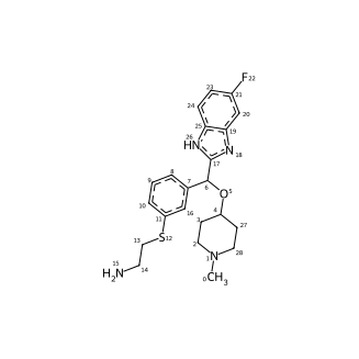 CN1CCC(OC(c2cccc(SCCN)c2)c2nc3cc(F)ccc3[nH]2)CC1